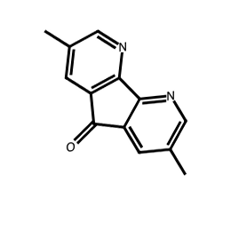 Cc1cnc2c(c1)C(=O)c1cc(C)cnc1-2